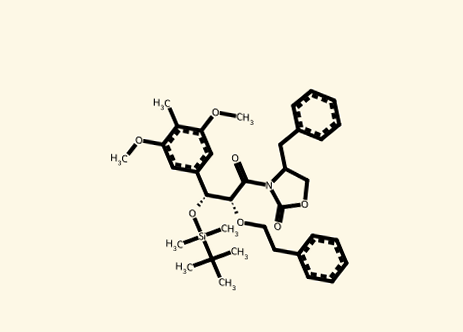 COc1cc([C@@H](O[Si](C)(C)C(C)(C)C)[C@@H](OCCc2ccccc2)C(=O)N2C(=O)OCC2Cc2ccccc2)cc(OC)c1C